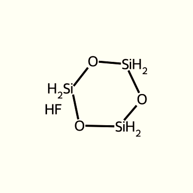 F.O1[SiH2]O[SiH2]O[SiH2]1